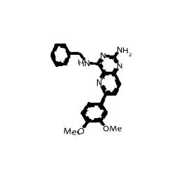 COc1ccc(-c2ccc3nc(N)nc(NCc4ccccc4)c3n2)cc1OC